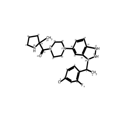 CC(c1ccc(Cl)cc1F)N1NNc2ccc(N3CCN(C(=O)C4(C)CCCN4)CC3)cc21